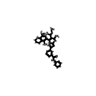 Cc1nc2cc(-c3cccc(C(=O)Nc4ccccc4)c3)nn2c(-c2cc(F)c3c(c2C)CCCO3)c1C(OC(C)(C)C)C(=O)O